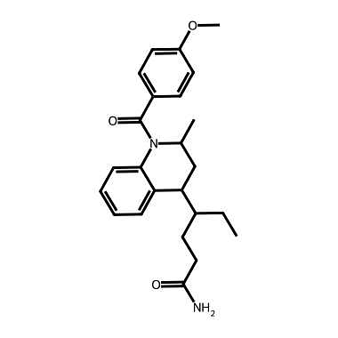 CCC(CCC(N)=O)C1CC(C)N(C(=O)c2ccc(OC)cc2)c2ccccc21